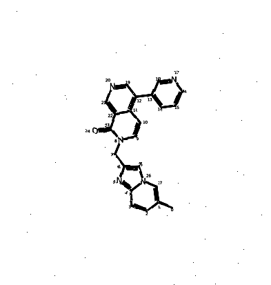 Cc1ccc2nc(Cn3ccc4c(-c5cccnc5)cncc4c3=O)cn2c1